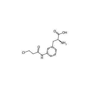 N[C@@H](Cc1cccc(NC(=O)CCCl)c1)C(=O)O